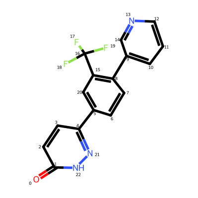 O=c1ccc(-c2ccc(-c3cccnc3)c(C(F)(F)F)c2)n[nH]1